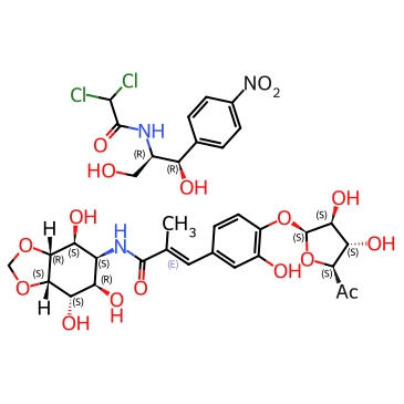 CC(=O)[C@H]1O[C@@H](Oc2ccc(/C=C(\C)C(=O)N[C@H]3[C@@H](O)[C@H](O)[C@@H]4OCO[C@@H]4[C@H]3O)cc2O)[C@@H](O)[C@@H]1O.O=C(N[C@H](CO)[C@H](O)c1ccc([N+](=O)[O-])cc1)C(Cl)Cl